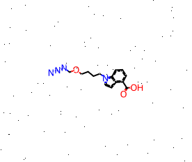 [N-]=[N+]=NCOCCCCn1ccc2c(C(=O)O)cccc21